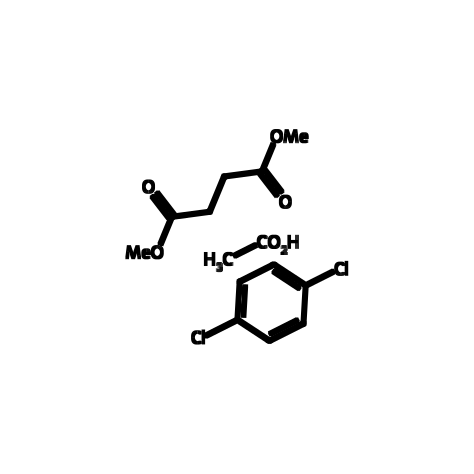 CC(=O)O.COC(=O)CCC(=O)OC.Clc1ccc(Cl)cc1